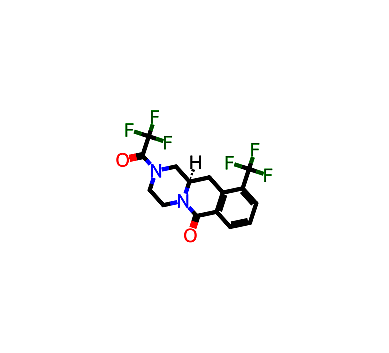 O=C1c2cccc(C(F)(F)F)c2C[C@@H]2CN(C(=O)C(F)(F)F)CCN12